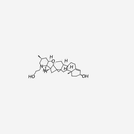 C[C@H]1C[C@H]2O[C@@]34CC[C@H]5[C@@H]6CCC7=C[C@@H](O)CC[C@]7(C)[C@H]6CC56CC63C[C@@H]4[C@@H]2N(CCO)C1